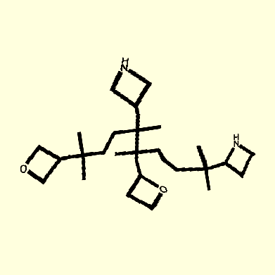 CC(C)(CCC(C)(C1CNC1)C(C)(CCC(C)(C)C1CCN1)C1CCO1)C1COC1